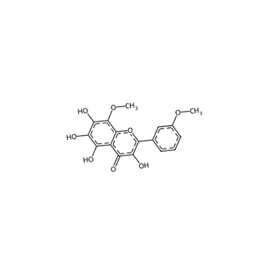 COc1cccc(-c2oc3c(OC)c(O)c(O)c(O)c3c(=O)c2O)c1